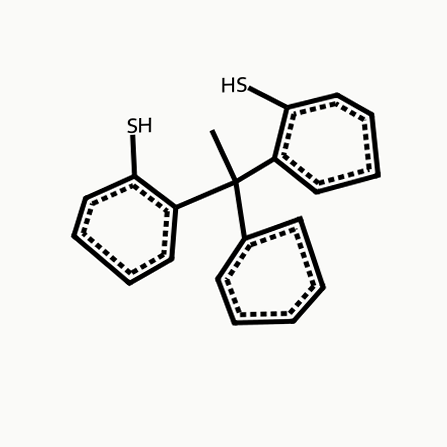 CC(c1ccccc1)(c1ccccc1S)c1ccccc1S